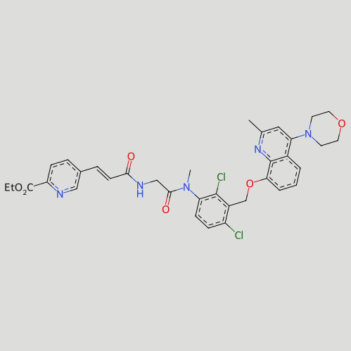 CCOC(=O)c1ccc(C=CC(=O)NCC(=O)N(C)c2ccc(Cl)c(COc3cccc4c(N5CCOCC5)cc(C)nc34)c2Cl)cn1